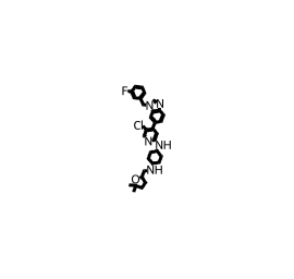 CC1(C)CCC(CN[C@H]2CC[C@H](Nc3cc(-c4ccc5ncn(Cc6cccc(F)c6)c5c4)c(Cl)cn3)CC2)O1